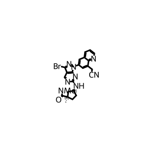 CNC(=O)[C@]1(C)CC[C@@H](Nc2ncc3c(Br)nn(-c4cc(CC#N)c5ncccc5c4)c3n2)C1